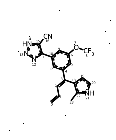 C=C/C=C(/c1cc(OC(F)(F)F)cc(-c2nn[nH]c2C#N)c1)c1cc[nH]c1C